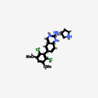 COc1cc(OC)c(Cl)c(-c2ccc3nc(N[C@@H]4CCNC4)ncc3c2)c1Cl